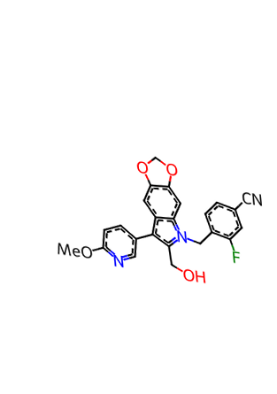 COc1ccc(-c2c(CO)n(Cc3ccc(C#N)cc3F)c3cc4c(cc23)OCO4)cn1